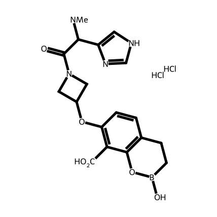 CNC(C(=O)N1CC(Oc2ccc3c(c2C(=O)O)OB(O)CC3)C1)c1c[nH]cn1.Cl.Cl